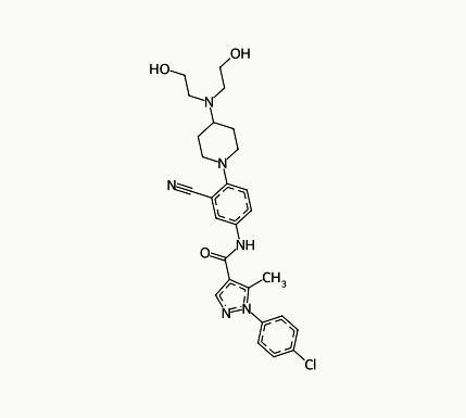 Cc1c(C(=O)Nc2ccc(N3CCC(N(CCO)CCO)CC3)c(C#N)c2)cnn1-c1ccc(Cl)cc1